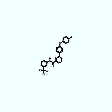 NS(=O)(=O)c1cccc(NC(=O)c2cccc(-c3ccc(Oc4ccc(F)cc4)cc3)n2)c1